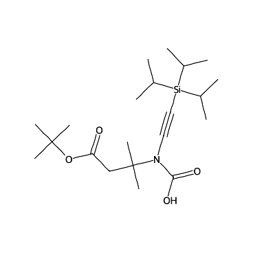 CC(C)[Si](C#CN(C(=O)O)C(C)(C)CC(=O)OC(C)(C)C)(C(C)C)C(C)C